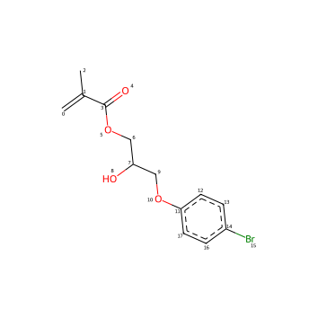 C=C(C)C(=O)OCC(O)COc1ccc(Br)cc1